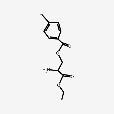 [CH2]c1ccc(C(=O)OCC(N)C(=O)OCC)cc1